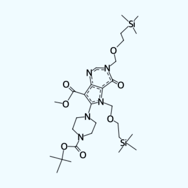 COC(=O)c1c(N2CCN(C(=O)OC(C)(C)C)CC2)n(COCC[Si](C)(C)C)c2c(=O)n(COCC[Si](C)(C)C)cnc12